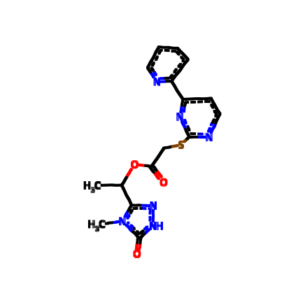 CC(OC(=O)CSc1nccc(-c2ccccn2)n1)c1n[nH]c(=O)n1C